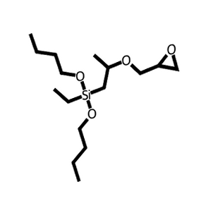 CCCCO[Si](CC)(CC(C)OCC1CO1)OCCCC